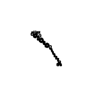 C=CC(=O)OCCCCCCCCCCCOc1ccc(COc2ccc(OC(=O)c3ccc(OCCCCCC)cc3)cc2)cc1